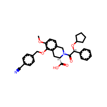 COc1ccc2c(c1OCc1ccc(C#N)cc1)C[C@@H](C(=O)O)N(C(=O)[C@@H](OC1CCCC1)c1ccccc1)C2